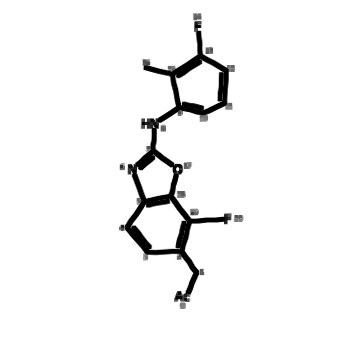 CC(=O)Cc1ccc2nc(Nc3cccc(F)c3C)oc2c1F